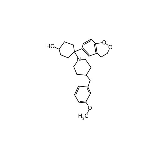 COc1cccc(CC2CCN(C3(c4ccc5c(c4)CCOO5)CCC(O)CC3)CC2)c1